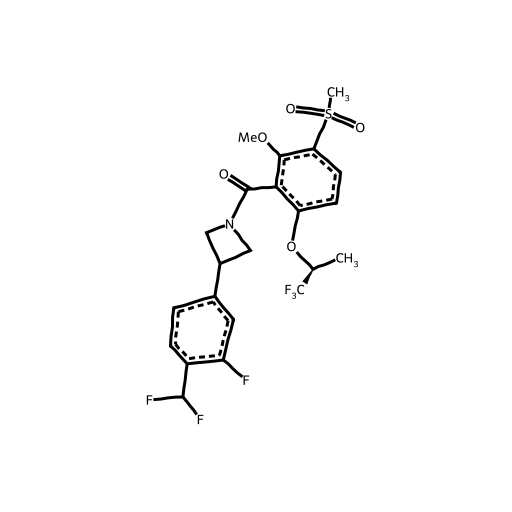 COc1c(S(C)(=O)=O)ccc(O[C@@H](C)C(F)(F)F)c1C(=O)N1CC(c2ccc(C(F)F)c(F)c2)C1